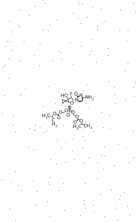 CC(C)OC(=O)OCOP(=O)(OCOC(=O)OC(C)C)OC[C@@]12O[C@@H](n3ccc(N)nc3=O)[C@H](F)[C@@]1(O)C21CC1